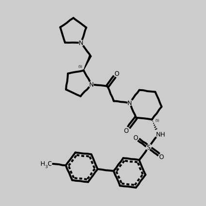 Cc1ccc(-c2cccc(S(=O)(=O)N[C@H]3CCCN(CC(=O)N4CCC[C@H]4CN4CCCC4)C3=O)c2)cc1